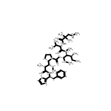 CC[C@H](C)[C@@H]([C@@H](CC(=O)N1CCC[C@H]1[C@H](OC)[C@@H](C)C(=O)N[C@@H](Cc1ccccc1)c1nccs1)OC)N(C)C(=O)[C@@H](NC(=O)C(C)(C)CNC)C(C)C